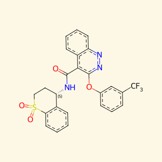 O=C(N[C@H]1CCS(=O)(=O)c2ccccc21)c1c(Oc2cccc(C(F)(F)F)c2)nnc2ccccc12